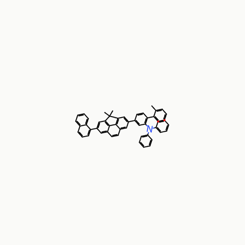 Cc1ccccc1-c1ccc(-c2cc3c4c(ccc5cc(-c6cccc7ccccc67)cc(c54)C3(C)C)c2)cc1N(c1ccccc1)c1ccccc1